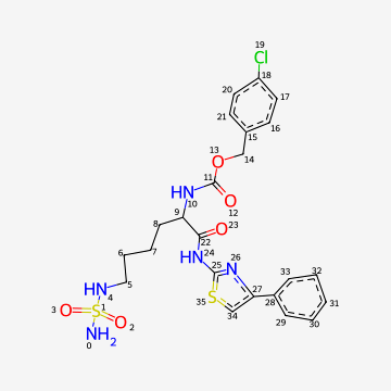 NS(=O)(=O)NCCCCC(NC(=O)OCc1ccc(Cl)cc1)C(=O)Nc1nc(-c2ccccc2)cs1